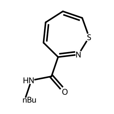 CCCCNC(=O)C1=NSC=CC=C1